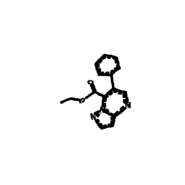 CCOC(=O)c1c(-c2ccccc2)cnc2ccnn12